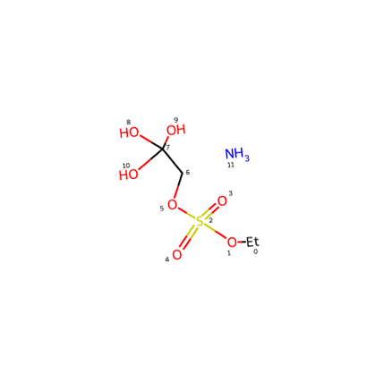 CCOS(=O)(=O)OCC(O)(O)O.N